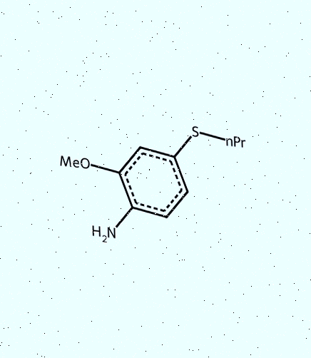 CCCSc1ccc(N)c(OC)c1